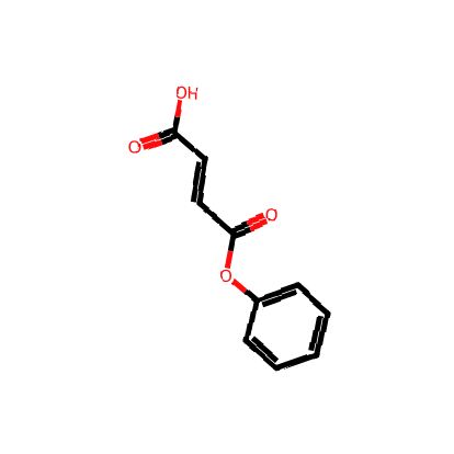 O=C(O)C=CC(=O)Oc1ccccc1